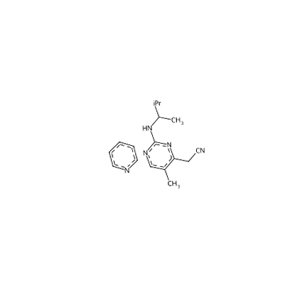 Cc1cnc(NC(C)C(C)C)nc1CC#N.c1ccncc1